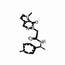 Cc1ccc([C@H](C)NC(=O)Cn2ncc3ccn(C)c3c2=O)cc1